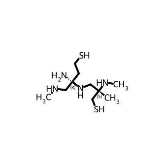 CNC[C@@](N)(CCS)NC[C@@](C)(CS)NC